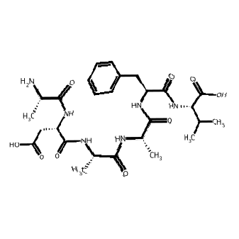 CC(C)[C@H](NC(=O)[C@H](Cc1ccccc1)NC(=O)[C@H](C)NC(=O)[C@H](C)NC(=O)[C@H](CC(=O)O)NC(=O)[C@H](C)N)C(=O)O